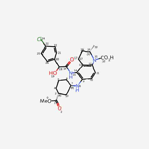 COC(=O)[C@@H]1CCC[C@@H](Nc2ccc3c(c2NC(=O)C(O)c2ccc(Cl)cc2)CC[C@H](C)N3C(=O)O)C1